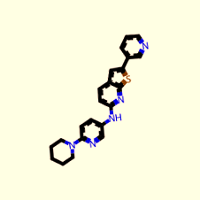 c1cncc(-c2cc3ccc(Nc4ccc(N5CCCCC5)nc4)nc3s2)c1